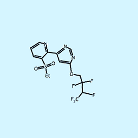 CCS(=O)(=O)c1cccnc1-c1cc(OCC(F)(F)C(F)C(F)(F)F)ncn1